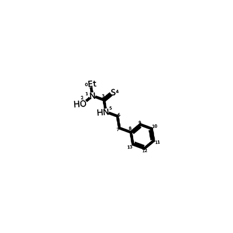 CCN(O)C(=S)NCCc1ccccc1